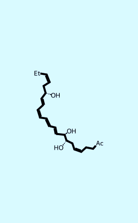 CC/C=C\C[C@H](O)/C=C/C=C\C=C\C=C\[C@H](O)[C@@H](O)C/C=C\CCC(C)=O